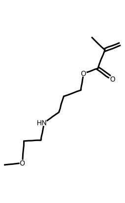 C=C(C)C(=O)OCCCNCCOC